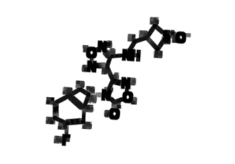 O=c1onc(-c2nonc2NCC2C[S+]([O-])C2)n1[C@H]1Cc2ccc(F)cc21